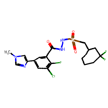 Cn1cnc(-c2cc(Cl)c(F)c(C(=O)NNS(=O)(=O)CC3CCCC(F)(F)C3)c2)c1